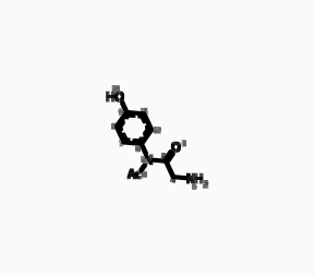 CC(=O)N(C(=O)CN)c1ccc(O)cc1